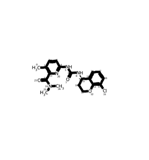 Cc1ccc(NC(=O)N[C@H]2CCOc3c(Cl)cccc32)nc1C(=O)N(C)C